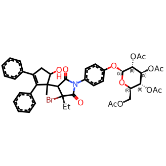 CCC1(Br)C(=O)N(c2ccc(O[C@@H]3O[C@H](COC(C)=O)[C@@H](OC(C)=O)[C@H](OC(C)=O)[C@H]3OC(C)=O)cc2)C(=O)C1C1(C)C(c2ccccc2)=C(c2ccccc2)CC1O